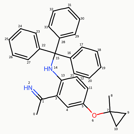 CC(=N)c1cc(OC2(C)CC2)ccc1NC(c1ccccc1)(c1ccccc1)c1ccccc1